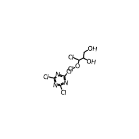 Clc1nc(Cl)nc(Cl)n1.OCC(O)C(Cl)OCl